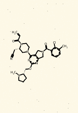 C=CC(=O)N1CCN(c2nc(OC[C@@H]3CCCN3C)nc3c2CN(C(=O)c2cccc(C)c2Cl)C3)C[C@@H]1CC#N